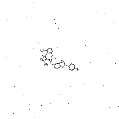 CC(C)c1onc(-c2c(Cl)cccc2Cl)c1OCc1ccc2c(c1)OC=C(c1ccc(F)cc1)C2